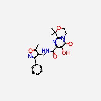 Cc1onc(-c2ccccc2)c1CNC(=O)c1nc2n(c(=O)c1O)CCOC2(C)C